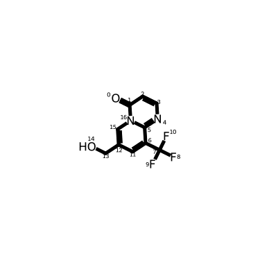 O=c1ccnc2c(C(F)(F)F)cc(CO)cn12